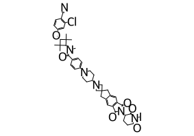 CN(C(=O)c1ccc(N2CCC(N3CC4(Cc5cc6c(cc5C4)C(=O)N(C4CCC(=O)N(I)C4=O)C6=O)C3)CC2)cc1)[C@H]1C(C)(C)[C@H](Oc2ccc(C#N)c(Cl)c2)C1(C)C